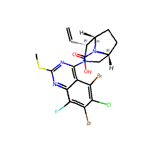 C=C[C@@H]1[C@@H]2CC[C@H](CN1c1nc(SC)nc3c(F)c(Br)c(Cl)c(Br)c13)N2C(=O)O